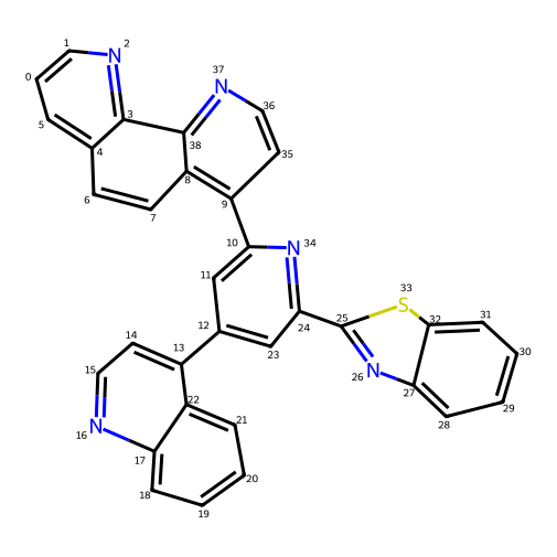 c1cnc2c(c1)ccc1c(-c3cc(-c4ccnc5ccccc45)cc(-c4nc5ccccc5s4)n3)ccnc12